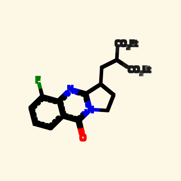 CCOC(=O)C(CC1CCn2c1nc1c(F)cccc1c2=O)C(=O)OCC